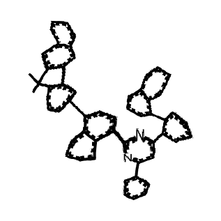 CC1(C)c2ccc(-c3ccc(-c4nc(-c5ccccc5)cc(-c5ccccc5-c5cccc6ccccc56)n4)c4ccccc34)cc2-c2cc3ccccc3cc21